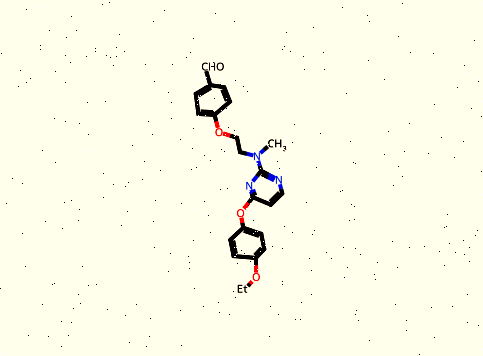 CCOc1ccc(Oc2ccnc(N(C)CCOc3ccc(C=O)cc3)n2)cc1